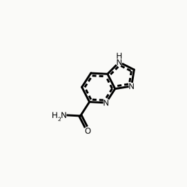 NC(=O)c1ccc2[nH]cnc2n1